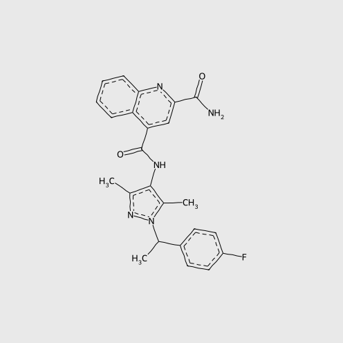 Cc1nn(C(C)c2ccc(F)cc2)c(C)c1NC(=O)c1cc(C(N)=O)nc2ccccc12